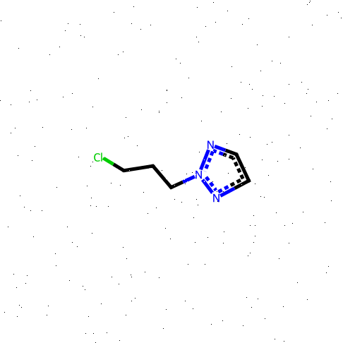 ClCCCn1nccn1